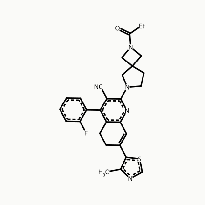 CCC(=O)N1CC2(CCN(c3nc4c(c(-c5ccccc5F)c3C#N)CCC(c3scnc3C)=C4)C2)C1